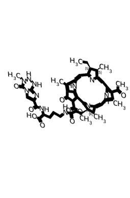 CC[C@@H]1c2cc3[nH]c4c(c3C)C(=O)C(C(=O)OC)c4c3nc(cc4[nH]c(cc(n2)[C@H]1C)c(C(C)=O)c4C)[C@H](C)[C@H]3CCC(=O)NCCCC(NC(=O)c1cn2c(n1)NNN(C)C2=O)C(=O)O